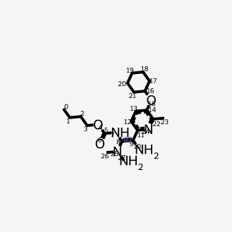 CCCCOC(=O)N/C(=C(/N)c1ccc(OC2CCCCC2)c(C)n1)N(C)N